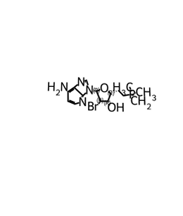 C=P(C)(C)CC[C@H]1O[C@@H](n2cnc3c(N)ccnc32)[C@H](Br)[C@@H]1O